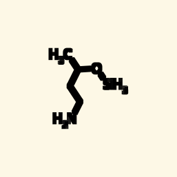 CC(CCN)O[SiH3]